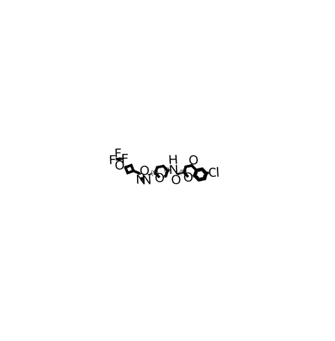 O=C1C[C@H](C(=O)N[C@@H]2CC[C@@H](c3nnc(C4CC(OC(F)(F)F)C4)o3)OC2)Oc2ccc(Cl)cc21